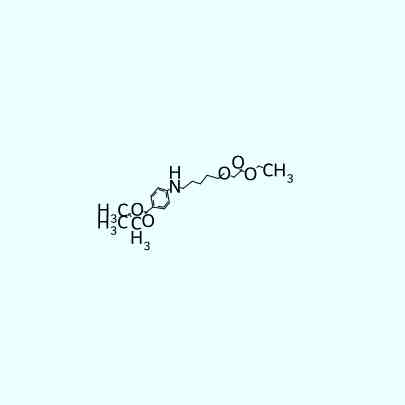 CCOC(=O)COCCCCCNc1ccc(C(=O)OC(C)(C)C)cc1